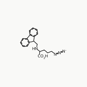 [N-]=[N+]=NCCCC(NCC1c2ccccc2-c2ccccc21)C(=O)O